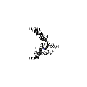 CC(C(=O)O)c1ccc(C(=O)c2cccs2)cc1.CC1=C(CC(=O)O)c2cc(F)ccc2/C1=C\c1ccc([S+](C)[O-])cc1.CN1C(C(=O)Nc2nccs2)=C(O)c2ccccc2S1(=O)=O.COc1ccc2c(c1)c(CC(=O)N[C@@H](CO)C(=O)O)c(C)n2C(=O)c1ccc(Cl)cc1.C[C@]12Cc3c[nH]nc3C[C@@H]1CC[C@@H]1[C@@H]2CC[C@@]2(C)[C@H]1CC[C@]2(C)O.Cl.O=C1c2cc(Cl)ccc2OC2CCON12.[He]